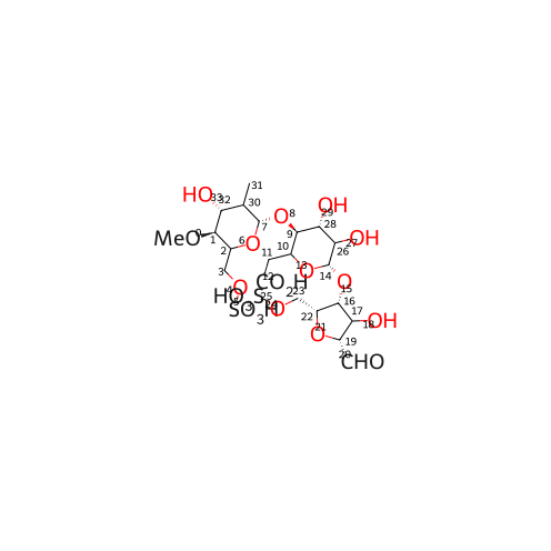 CO[C@@H]1C(COS(=O)(=O)O)O[C@@H](O[C@@H]2C(CC(=O)O)O[C@@H](O[C@@H]3C(O)[C@H](C=O)O[C@@H]3COS(=O)(=O)O)C(O)[C@H]2O)C(C)[C@H]1O